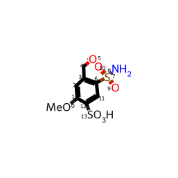 COc1cc(C[O])c(S(N)(=O)=O)cc1S(=O)(=O)O